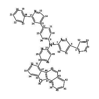 c1ccc(-c2ccc(N(c3ccc(-c4cccc(-c5ccccc5)c4)cc3)c3ccc(-c4cccc5oc6c7ccccc7ccc6c45)cc3)cc2)cc1